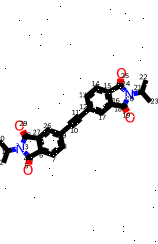 CC(C)N1C(=O)c2ccc(C#Cc3ccc4c(c3)C(=O)N(C(C)C)C4=O)cc2C1=O